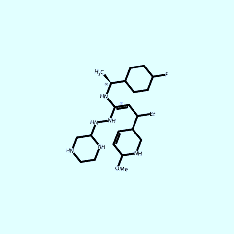 CCC(/C=C(\NNC1CNCCN1)N[C@@H](C)C1CCC(F)CC1)C1C=CC(OC)NC1